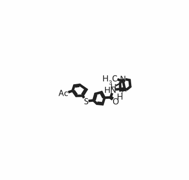 CC(=O)c1cccc(Sc2ccc(C(=O)N[C@@H]3C4CCN(CC4)[C@H]3C)cc2)c1